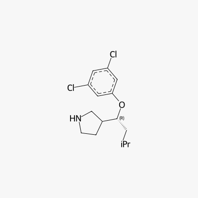 CC(C)C[C@@H](Oc1cc(Cl)cc(Cl)c1)C1CCNC1